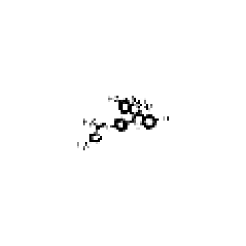 CC1=C(c2ccc(O)cc2S(C)(=O)=O)C(c2ccc(OCC(C)N3CCC(C)C3)cc2)Oc2ccc(O)cc21